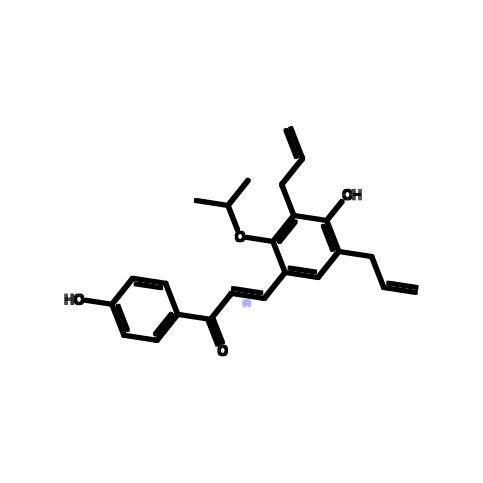 C=CCc1cc(/C=C/C(=O)c2ccc(O)cc2)c(OC(C)C)c(CC=C)c1O